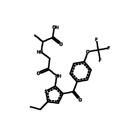 CCc1cc(C(=O)c2ccc(OC(F)(F)F)cc2)c(NC(=O)CNC(C)C(=O)O)s1